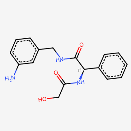 Nc1cccc(CNC(=O)[C@H](NC(=O)CO)c2ccccc2)c1